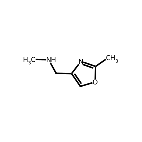 CNCc1coc(C)n1